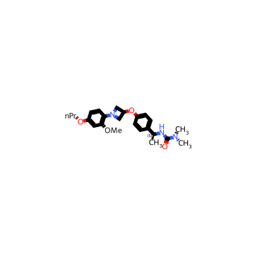 CCCOc1ccc(N2CC(Oc3ccc([C@H](C)NC(=O)N(C)C)cc3)C2)c(OC)c1